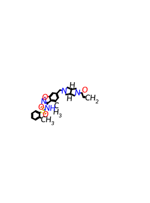 C=CC(=O)N1C[C@H]2CN(Cc3cc(C)c4c(NS(=O)(=O)c5ccccc5C)noc4c3)C[C@H]2C1